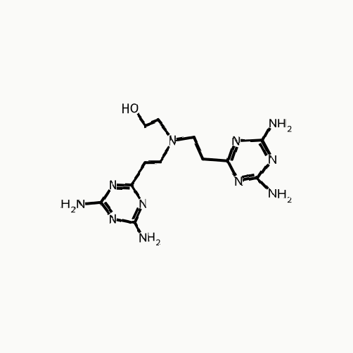 Nc1nc(N)nc(CCN(CCO)CCc2nc(N)nc(N)n2)n1